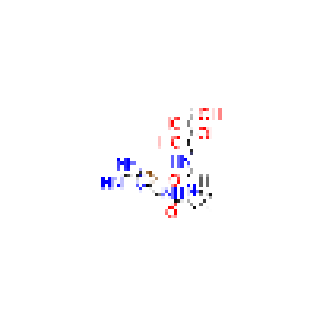 C[C@H](O)[C@H](O)[C@@H](O)[C@@H](O)CNCC(=O)N1[C@H]2C[C@@]2(C)C[C@H]1C(=O)NCc1nc(C(=N)N)cs1